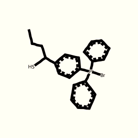 CCCC(S)c1ccc([P+](Br)(c2ccccc2)c2ccccc2)cc1